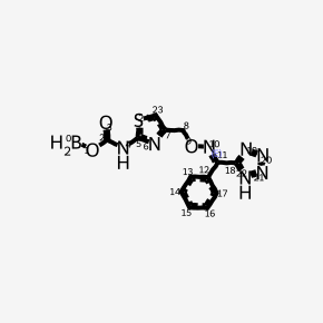 BOC(=O)Nc1nc(CO/N=C(\c2ccccc2)c2nnn[nH]2)cs1